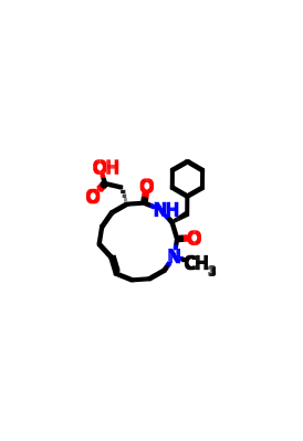 CN1CCC/C=C/CCC[C@H](CC(=O)O)C(=O)N[C@@H](CC2CCCCC2)C1=O